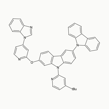 CC(C)(C)c1ccnc(-n2c3ccc(-n4c5ccccc5c5ccccc54)cc3c3ccc(Oc4cc(-n5cnc6ccccc65)ccn4)cc32)c1